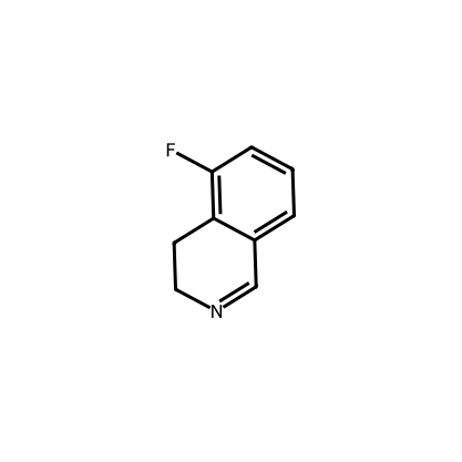 Fc1cccc2c1CCN=C2